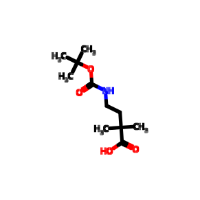 CC(C)(C)OC(=O)NCCC(C)(C)C(=O)O